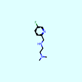 CN(C)CCNCc1ccc(F)cn1